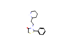 O=C1CSC(c2ccccc2)N1CCC1CCCCN1